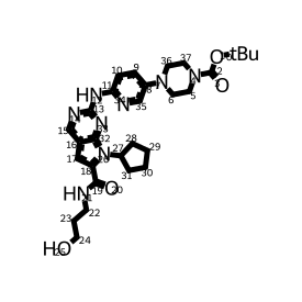 CC(C)(C)OC(=O)N1CCN(c2ccc(Nc3ncc4cc(C(=O)NCCCO)n(C5CCCC5)c4n3)nc2)CC1